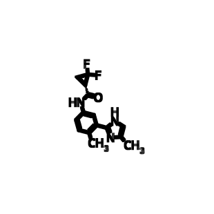 Cc1c[nH]c(-c2cc(NC(=O)[C@@H]3CC3(F)F)ccc2C)n1